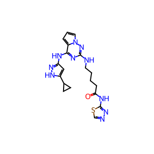 O=C(CCCCNc1nc(Nc2cc(C3CC3)[nH]n2)c2cccn2n1)Nc1nncs1